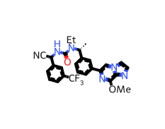 CCN(C(=O)NC(C#N)c1cccc(C(F)(F)F)c1)[C@H](C)c1cccc(-c2cn3ccnc3c(OC)n2)c1